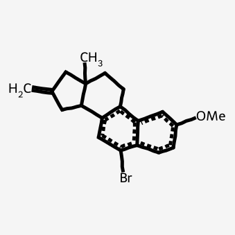 C=C1CC2c3cc(Br)c4ccc(OC)cc4c3CCC2(C)C1